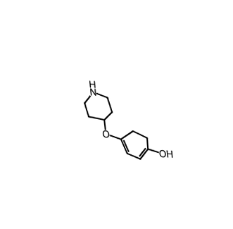 OC1=CC=C(OC2CCNCC2)CC1